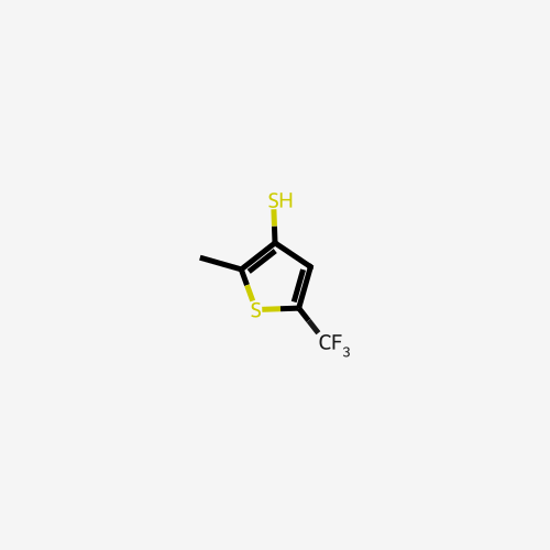 Cc1sc(C(F)(F)F)cc1S